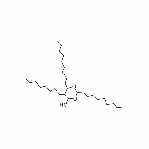 CCCCCCCCCC1OC(O)C(CCCCCCCC)C(CCCCCCCCC)O1